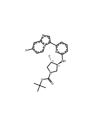 CC(C)(C)OC(=O)N1C[C@H](Nc2cccc(-c3cnc4cc(F)ccn34)n2)[C@@H](F)C1